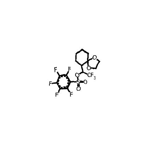 O=S(=O)(OC(C1CCCCC12OCCO2)C(F)(F)F)c1c(F)c(F)c(F)c(F)c1F